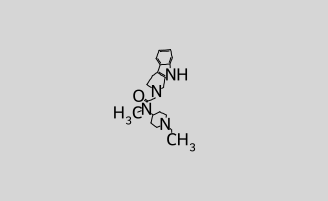 CCN1CCC(N(C)C(=O)CN2CCc3c([nH]c4ccccc34)C2)CC1